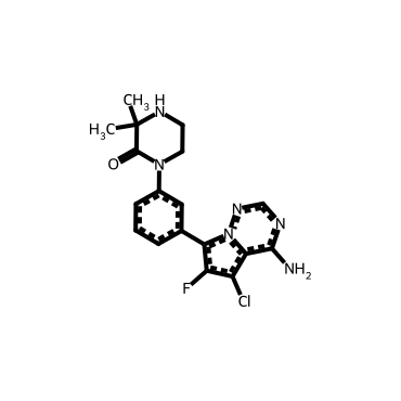 CC1(C)NCCN(c2cccc(-c3c(F)c(Cl)c4c(N)ncnn34)c2)C1=O